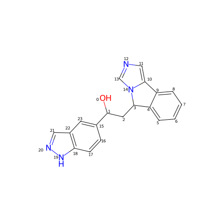 OC(CC1c2ccccc2-c2cncn21)c1ccc2[nH]ncc2c1